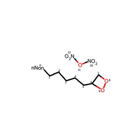 CCCCCCCCCCCCCCC1COO1.O=[N+]([O-])O[N+](=O)[O-]